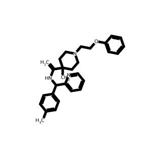 C=C(NC(c1ccc(C)cc1)c1ccccn1)C1(C)CCN(CCOc2ccccc2)CC1